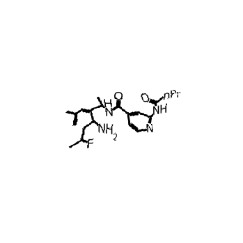 C=C(C)/C=C(\C(N)CC(C)F)C(C)NC(=O)c1ccnc(NC(=O)CCC)c1